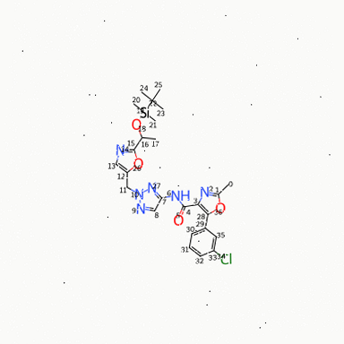 Cc1nc(C(=O)Nc2cnn(Cc3cnc(C(C)O[Si](C)(C)C(C)(C)C)o3)n2)c(-c2cccc(Cl)c2)o1